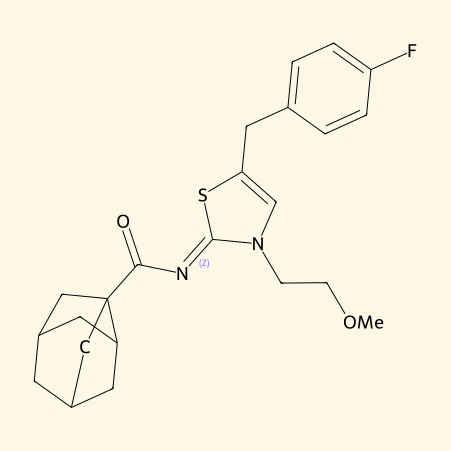 COCCn1cc(Cc2ccc(F)cc2)s/c1=N\C(=O)C12CC3CC(CC1C3)C2